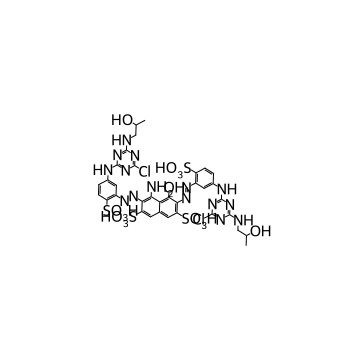 CC(O)CNc1nc(Cl)nc(Nc2ccc(S(=O)(=O)O)c(/N=N/c3c(S(=O)(=O)O)cc4cc(S(=O)(=O)O)c(/N=N/c5cc(Nc6nc(Cl)nc(NCC(C)O)n6)ccc5S(=O)(=O)O)c(O)c4c3N)c2)n1